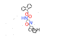 CC(CN(C)C(=O)C(CC(=O)O)Cc1ccccc1)NC(=O)OCC1c2ccccc2-c2ccccc21